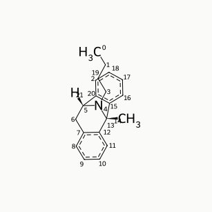 CCCCN1[C@@H]2Cc3ccccc3[C@@]1(C)c1ccccc12